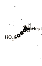 CCCCCCCNC(=O)N1CC(C)Oc2cc(-c3ccc([C@H]4CC[C@H](CC(=O)O)CC4)cc3)ccc21